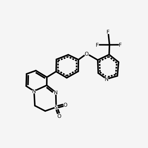 O=S1(=O)CCN2C=CC=C(c3ccc(Oc4cnccc4C(F)(F)F)cc3)C2=N1